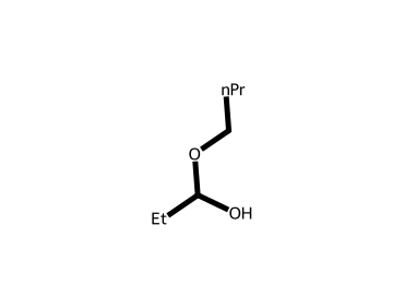 CCCCOC(O)CC